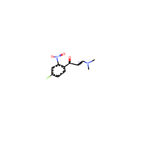 CN(C)/C=C/C(=O)c1ccc(F)cc1[N+](=O)[O-]